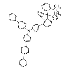 CC1(C)c2ccccc2C2(c3ccccc3-c3c(-c4ccc(N(c5ccc(-c6ccccc6)cc5)c5ccc(-c6ccc(-c7ccccc7)cc6)cc5)cc4)cccc32)c2ccccc21